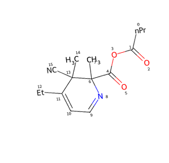 CCCC(=O)OC(=O)C1(C)N=CC=C(CC)C1(C)C#N